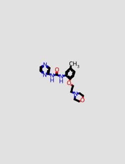 Cc1ccc(OCCN2CCOCC2)c(NC(=O)Nc2cnccn2)c1